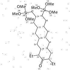 CCC(CCCCCCCC[Si](OC)(OC)OC)C(=O)C(CC)CCCCCCCC[Si](OC)(OC)OC